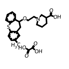 Cc1ccc2c(c1)CC(OCCN1CCCC(C(=O)O)C1)c1ccccc1S2.O=C(O)C(=O)O